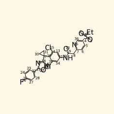 CCS(=O)(=O)c1ccc(CC(=O)Nc2cc(Cl)c(C3(c4noc(-c5ccc(F)cc5)n4)CC3)c(Cl)c2)nc1